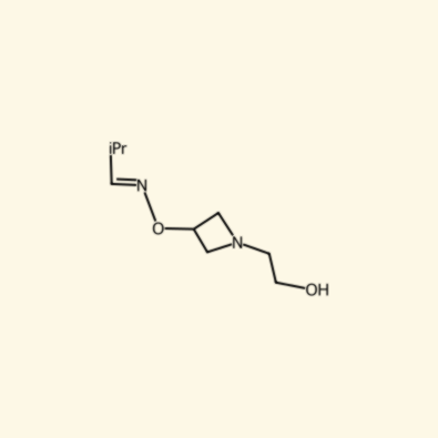 CC(C)/C=N/OC1CN(CCO)C1